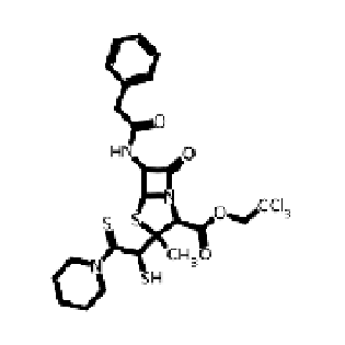 CC1(C(S)C(=S)N2CCCCC2)SC2C(NC(=O)Cc3ccccc3)C(=O)N2C1C(=O)OCC(Cl)(Cl)Cl